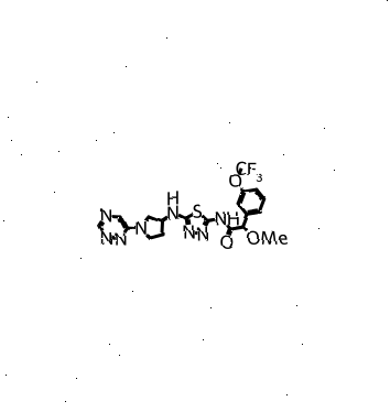 COC(C(=O)Nc1nnc(NC2CCN(c3cncnn3)C2)s1)c1cccc(OC(F)(F)F)c1